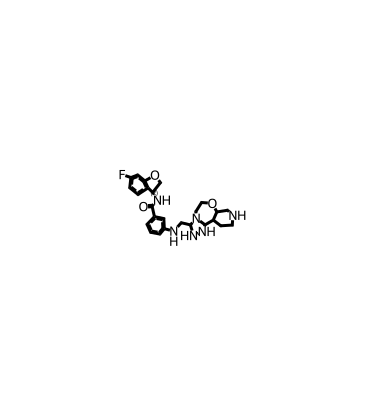 O=C(N[C@H]1COc2cc(F)ccc21)c1cccc(NCC2NNC3C4CCNCC4OCCN23)c1